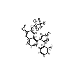 COc1cc2ncnc(-c3cn(C)nc3-c3ccccc3F)c2cc1OS(=O)(=O)C(F)(F)F